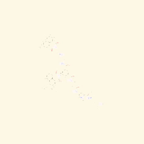 CN(C)CCCNC(=O)c1cc(NC(=O)CCNC(=O)c2cc(C(=O)NCCNCCN3C(=O)c4cccc5cc([N+](=O)[O-])cc(c45)C3=O)cc(N3C(=O)c4cccc5cc([N+](=O)[O-])cc(c45)C3=O)c2)cn1C.Cl.Cl